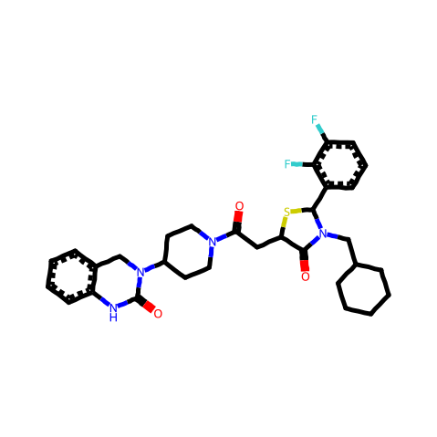 O=C(CC1SC(c2cccc(F)c2F)N(CC2CCCCC2)C1=O)N1CCC(N2Cc3ccccc3NC2=O)CC1